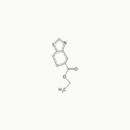 CCOC(=O)c1ccc2s[c]nc2c1